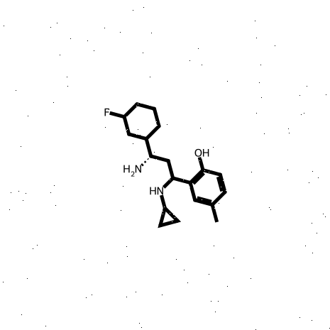 Cc1ccc(O)c(C(C[C@H](N)C2CCCC(F)C2)NC2CC2)c1